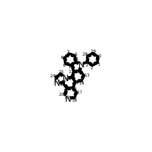 c1ccc(-n2c3ccccc3c3c2ccc2c4ccncc4c4nccn4c23)cc1